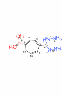 N/N=C(\NN)C1=CC=C(B(O)O)CC=C1